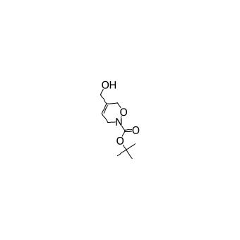 CC(C)(C)OC(=O)N1CC=C(CO)CO1